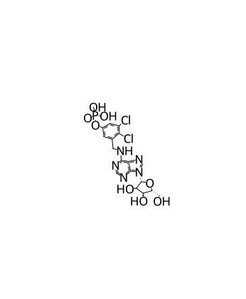 O=P(O)(O)Oc1cc(Cl)c(Cl)c(CNc2ncnc3c2ncn3[C@@H]2O[C@H](CO)[C@@H](O)[C@H]2O)c1